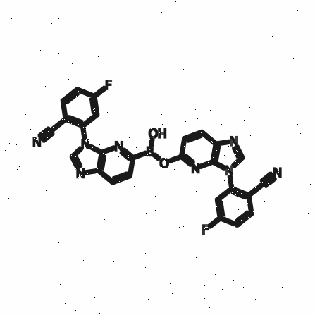 N#Cc1ccc(F)cc1-n1cnc2ccc(OB(O)c3ccc4ncn(-c5cc(F)ccc5C#N)c4n3)nc21